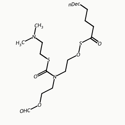 CCCCCCCCCCCCCC(=O)SOCCN(CCOC=O)C(=O)SCCN(C)C